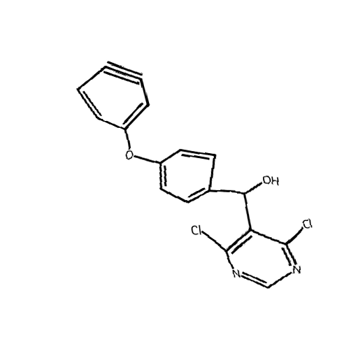 OC(c1ccc(Oc2cc#ccc2)cc1)c1c(Cl)ncnc1Cl